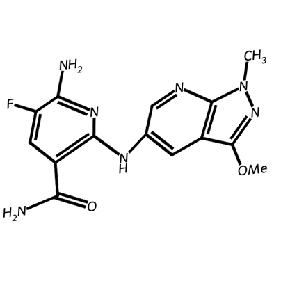 COc1nn(C)c2ncc(Nc3nc(N)c(F)cc3C(N)=O)cc12